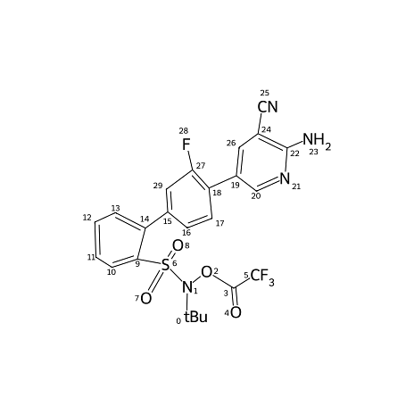 CC(C)(C)N(OC(=O)C(F)(F)F)S(=O)(=O)c1ccccc1-c1ccc(-c2cnc(N)c(C#N)c2)c(F)c1